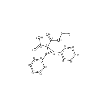 CCOC(=O)C1(C(=O)O)C(c2ccccc2)=C1c1ccccc1